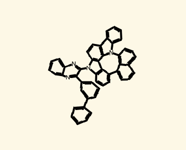 c1ccc(-c2cccc(-c3nc4ccccc4nc3-n3c4cccc5c6cccc7cccc(c76)n6c7ccccc7c7ccc3c(c54)c76)c2)cc1